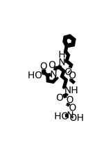 CCOOCC(CCc1ccccc1)NC(CCCCNC(=O)OCON(O)O)C(=O)N1CCCC1C(=O)O